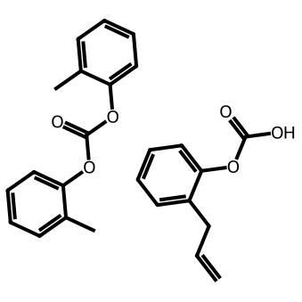 C=CCc1ccccc1OC(=O)O.Cc1ccccc1OC(=O)Oc1ccccc1C